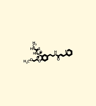 CNC(=S)NS(=O)(=O)c1cc(CCNC(=O)/C=C/c2ccccn2)ccc1OCCOC